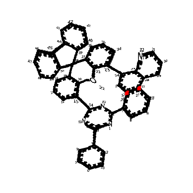 c1ccc(-c2nc(-c3ccccc3)nc(-c3cccc4c3Oc3c(-c5cccc6cccnc56)cccc3C43c4ccccc4-c4ccccc43)n2)cc1